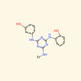 CCNc1nc(Nc2cccc(O)c2)nc(Nc2ccccc2O)n1